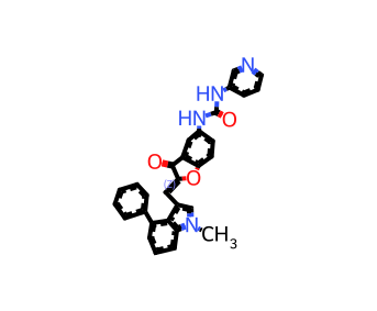 Cn1cc(/C=C2\Oc3ccc(NC(=O)Nc4cccnc4)cc3C2=O)c2c(-c3ccccc3)cccc21